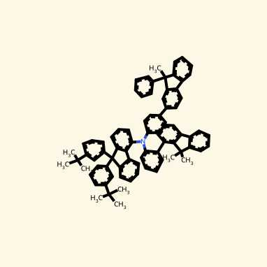 CC(C)(C)c1cccc(C2(c3cccc(C(C)(C)C)c3)c3ccccc3-c3c(N(c4ccc(-c5ccc6c(c5)C(C)(c5ccccc5)c5ccccc5-6)cc4)c4ccccc4-c4cccc5c4C(C)(C)c4ccccc4-5)cccc32)c1